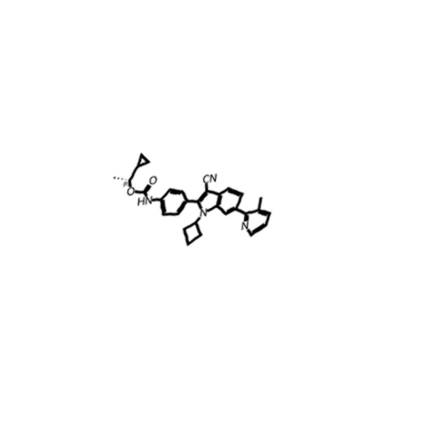 Cc1cccnc1-c1ccc2c(C#N)c(-c3ccc(NC(=O)O[C@H](C)C4CC4)cc3)n(C3CCC3)c2c1